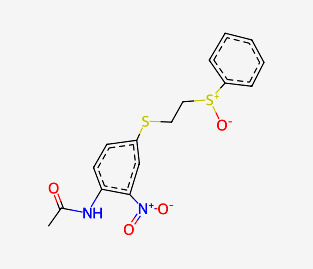 CC(=O)Nc1ccc(SCC[S+]([O-])c2ccccc2)cc1[N+](=O)[O-]